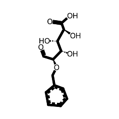 O=C[C@H](OCc1ccccc1)[C@@H](O)[C@H](O)[C@H](O)C(=O)O